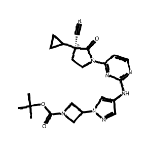 CC(C)(C)OC(=O)N1CC(n2cc(Nc3nccc(N4CC[C@@](C#N)(C5CC5)C4=O)n3)cn2)C1